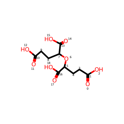 O=C(O)CCC(OC(CCC(=O)O)C(=O)O)C(=O)O